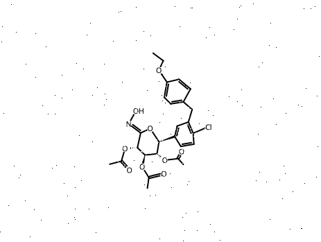 CCOc1ccc(Cc2cc([C@@H]3O/C(=N\O)[C@@H](OC(C)=O)[C@H](OC(C)=O)[C@H]3OC(C)=O)ccc2Cl)cc1